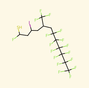 FC(S)CC(I)CC(CC(F)(F)C(F)(F)C(F)(F)C(F)(F)C(F)(F)C(F)(F)F)C(F)(F)F